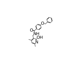 Cc1cc(C)c(CNC(=O)c2ccc(OCc3ccccc3)cc2)c(O)n1